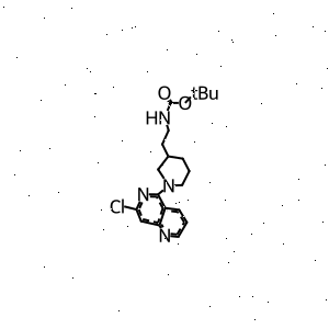 CC(C)(C)OC(=O)NCCC1CCCN(c2nc(Cl)cc3ncccc23)C1